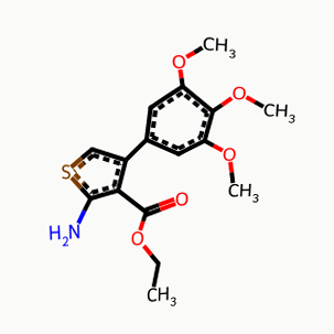 CCOC(=O)c1c(-c2cc(OC)c(OC)c(OC)c2)csc1N